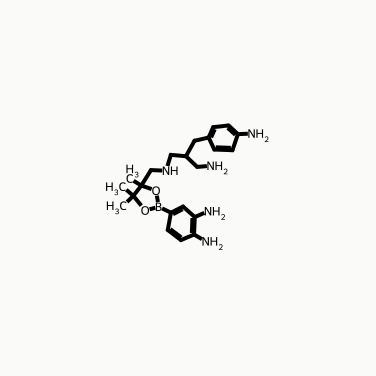 CC1(C)OB(c2ccc(N)c(N)c2)OC1(C)CNCC(CN)Cc1ccc(N)cc1